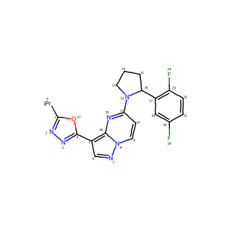 CC(C)c1nnc(-c2cnn3ccc(N4CCCC4c4cc(F)ccc4F)nc23)o1